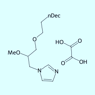 CCCCCCCCCCCCOCC(Cn1ccnc1)OC.O=C(O)C(=O)O